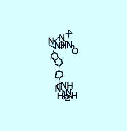 CN1[C@@H]2CC[C@@H](C2)[C@H]1c1ncc(-c2ccc(-c3ccc4cc(-c5cnc(CN(CC6(C)CC6)C(=O)CNC=O)[nH]5)ccc4c3)cc2)[nH]1